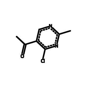 CC(=O)c1cnc(C)nc1Cl